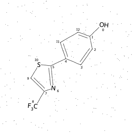 Oc1ccc(-c2nc(C(F)(F)F)cs2)cc1